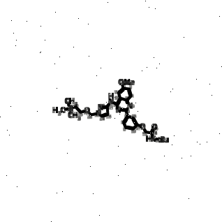 COc1ccc2nc(-c3cccc(OCC(=O)NC(C)(C)C)c3)nc(Nc3ccn(COCC[Si](C)(C)C)n3)c2c1